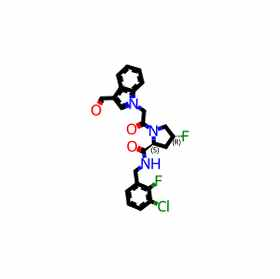 O=Cc1cn(CC(=O)N2C[C@H](F)C[C@H]2C(=O)NCc2cccc(Cl)c2F)c2ccccc12